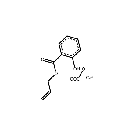 C=CCOC(=O)c1ccccc1O.O=C([O-])[O-].[Ca+2]